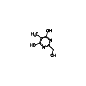 Cc1c(O)nc(CO)nc1O